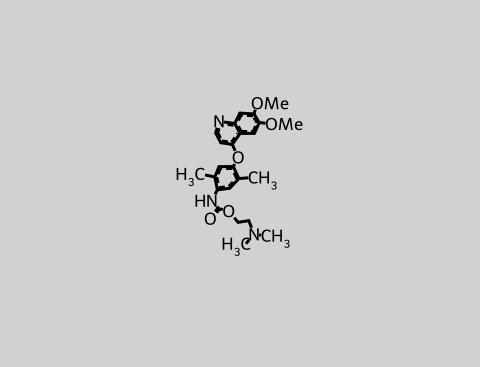 COc1cc2nccc(Oc3cc(C)c(NC(=O)OCCN(C)C)cc3C)c2cc1OC